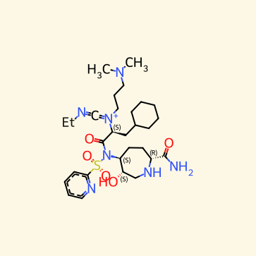 CCN=C=[N+](CCCN(C)C)[C@@H](CC1CCCCC1)C(=O)N([C@H]1CC[C@H](C(N)=O)NC[C@@H]1O)S(=O)(=O)c1ccccn1